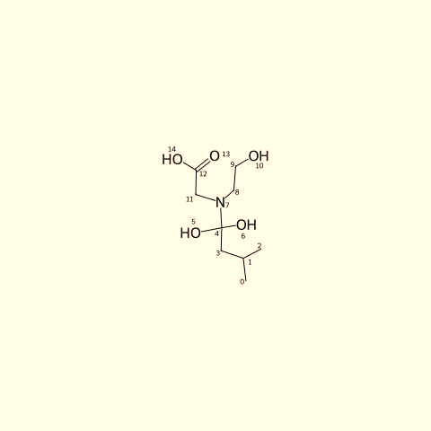 CC(C)CC(O)(O)N(CCO)CC(=O)O